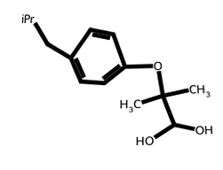 CC(C)Cc1ccc(OC(C)(C)C(O)O)cc1